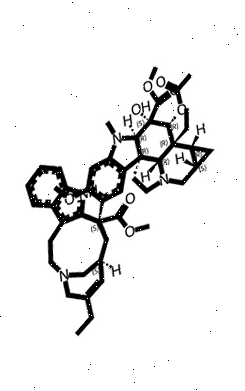 CCC1=C[C@H]2CN(CCc3c([nH]c4ccccc34)[C@@](C(=O)OC)(c3cc4c(cc3OC)N(C)[C@H]3[C@@](O)(C(=O)OC)[C@H](OC(C)=O)[C@]5(CC)[C@@H]6C[C@@H]6CN6CC[C@]43[C@@H]65)C2)C1